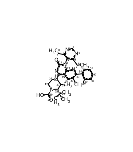 CCc1ncnc(CC)c1-n1c(=O)nc(N2CCN(C(=O)O)[C@@H](C(C)(C)C)C2C)c2cc(Cl)c(-c3ccccc3F)nc21